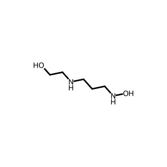 OCCNCCCNO